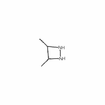 CC1NNC1C